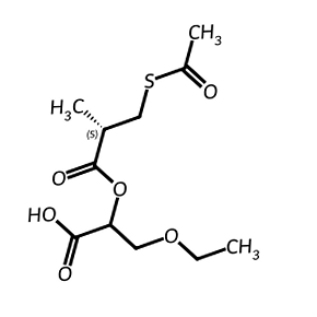 CCOCC(OC(=O)[C@H](C)CSC(C)=O)C(=O)O